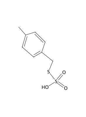 Cc1ccc(CSS(=O)(=O)O)cc1